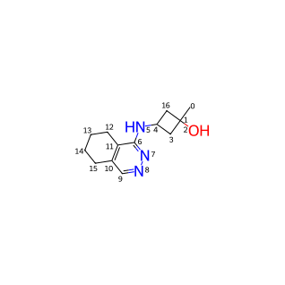 CC1(O)CC(Nc2nncc3c2CCCC3)C1